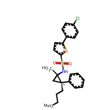 COCCC[C@@]1(c2ccccc2)CC1(NS(=O)(=O)c1ccc(-c2ccc(Cl)cc2)s1)C(=O)O